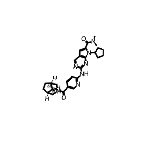 CN(C)C(=O)c1cc2cnc(Nc3ccc(C(=O)N4C[C@H]5CC[C@@H](C4)[C@@H]5O)cn3)nc2n1C1CCCC1